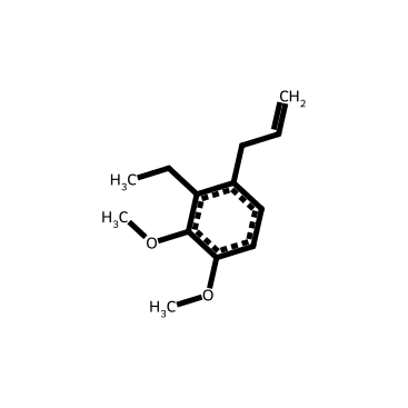 C=CCc1ccc(OC)c(OC)c1CC